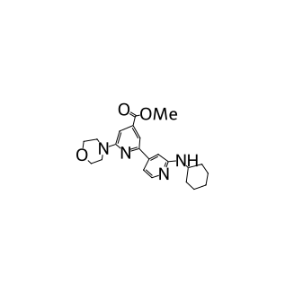 COC(=O)c1cc(-c2ccnc(NC3CCCCC3)c2)nc(N2CCOCC2)c1